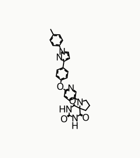 Cc1ccc(-n2ccc(-c3ccc(Oc4ccc(N5CCCC56C(=O)NC(=O)NC6=O)cn4)cc3)n2)cc1